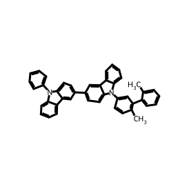 Cc1ccccc1-c1cc(-n2c3ccccc3c3cc(-c4ccc5c(c4)c4ccccc4n5-c4ccccc4)ccc32)ccc1C